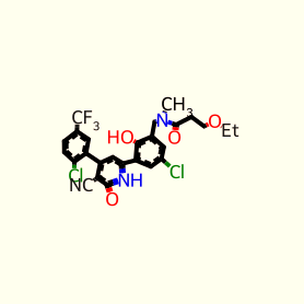 CCOCCC(=O)N(C)Cc1cc(Cl)cc(-c2cc(-c3cc(C(F)(F)F)ccc3Cl)c(C#N)c(=O)[nH]2)c1O